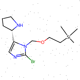 C[Si](C)(C)CCOCn1c([C@@H]2CCCN2)cnc1Br